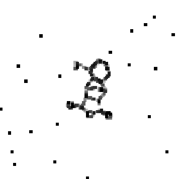 O=C1OC(=O)C2C3C=CC(c4cccc(Br)c43)C12